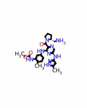 COC(=O)Nc1cc(Nc2nc(Nc3cc(C)[nH]n3)cnc2C(=O)N2CCC[C@@H]2CN)ccc1C